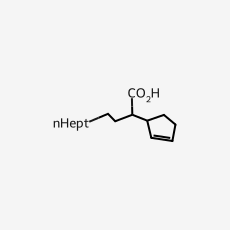 CCCCCCCCCC(C(=O)O)C1C=CCC1